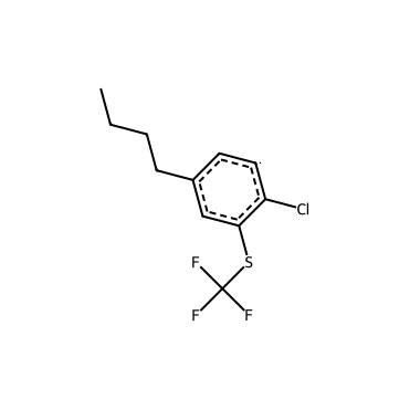 CCCCc1c[c]c(Cl)c(SC(F)(F)F)c1